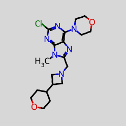 Cn1c(CN2CC(C3CCOCC3)C2)nc2c(N3CCOCC3)nc(Cl)nc21